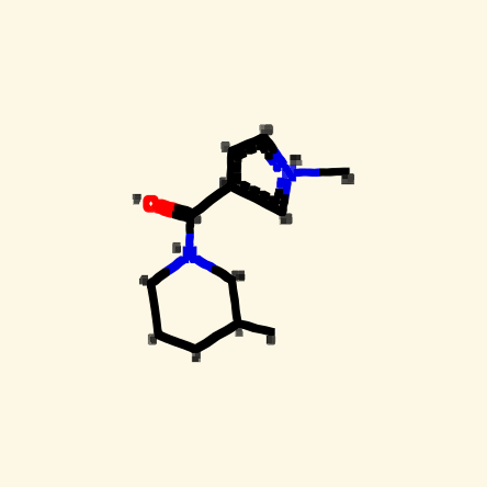 CC1CCCN(C(=O)c2ccn(C)c2)C1